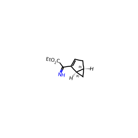 CCOC(=O)C(=N)C1=CC[C@H]2C[C@@H]12